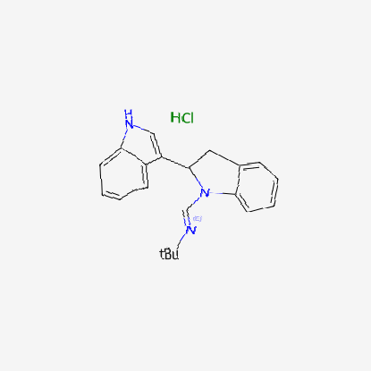 CC(C)(C)/N=C/N1c2ccccc2CC1c1c[nH]c2ccccc12.Cl